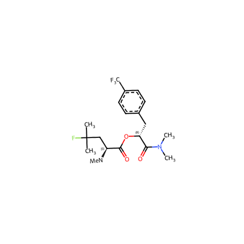 CN[C@@H](CC(C)(C)F)C(=O)O[C@H](Cc1ccc(C(F)(F)F)cc1)C(=O)N(C)C